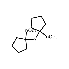 CCCCCCCCC1(SC2(CCCCCCCC)CCCC2)CCCC1